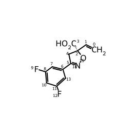 C=C[C@]1(C(=O)O)CC(c2cc(F)cc(F)c2)=NO1